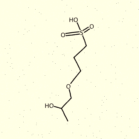 CC(O)COCCCS(=O)(=O)O